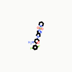 N[C@H]1C[C@@H](N2Cc3cn(S(=O)(=O)N4CCCCC4)nc3C2)CO[C@@H]1c1cc(F)ccc1F